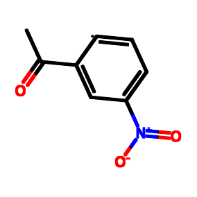 CC(=O)c1[c]ccc([N+](=O)[O-])c1